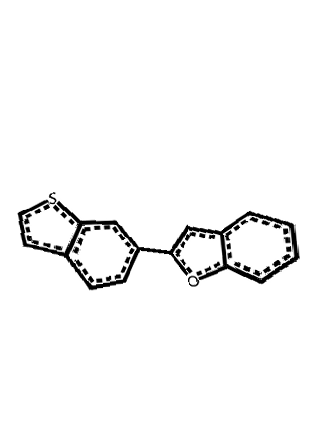 c1ccc2oc(-c3ccc4ccsc4c3)cc2c1